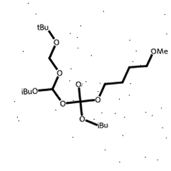 CCC(C)OC([O])(OCCCCOC)OC(OCOC(C)(C)C)OCC(C)C